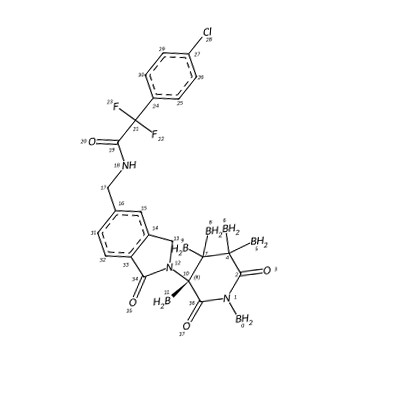 BN1C(=O)C(B)(B)C(B)(B)[C@@](B)(N2Cc3cc(CNC(=O)C(F)(F)c4ccc(Cl)cc4)ccc3C2=O)C1=O